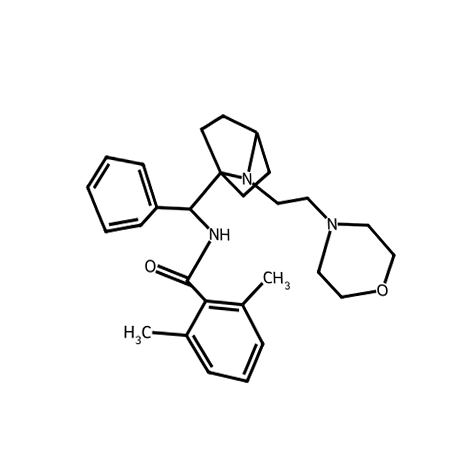 Cc1cccc(C)c1C(=O)NC(c1ccccc1)C12CCC(CC1)N2CCN1CCOCC1